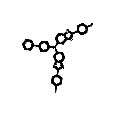 Fc1ccc(-c2nc3ccc(N(c4ccc(-c5ccccc5)cc4)c4ccc5nc(-c6ccc(F)cc6)sc5c4)cc3s2)cc1